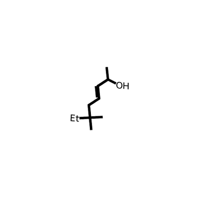 CCC(C)(C)CC=CC(C)O